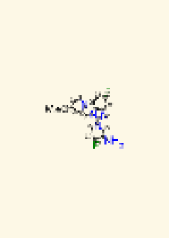 COc1ccnc(Cn2c(N3CCC(F)C(N)C3)nc3cc(F)ccc32)c1